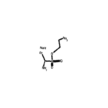 CCC(N)S(=O)(=O)OCCN.[NaH]